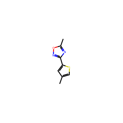 Cc1csc(-c2noc(C)n2)c1